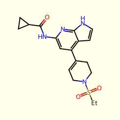 CCS(=O)(=O)N1CC=C(c2cc(NC(=O)C3CC3)nc3[nH]ccc23)CC1